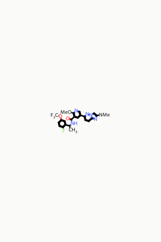 CNc1cn2nc(-c3cnc(OC)c(C(=O)N[C@@H](C)c4cc(OC(F)(F)F)ccc4F)c3)ccc2n1